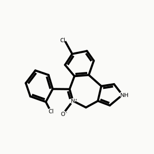 [O-][N+]1=C(c2ccccc2Cl)c2cc(Cl)ccc2-c2c[nH]cc2C1